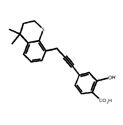 CC1(C)CCSc2c(CC#Cc3ccc(C(=O)O)c(O)c3)cccc21